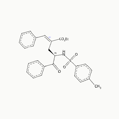 CCOC(=O)/C(=C/c1ccccc1)C[C@@H](NS(=O)(=O)c1ccc(C)cc1)C(=O)c1ccccc1